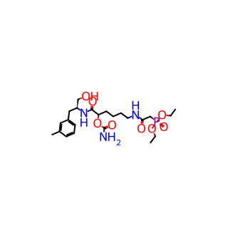 CCOP(=O)(CC(=O)NCCCCC(OC(N)=O)C(=O)N[C@H](CO)Cc1cccc(C)c1)OCC